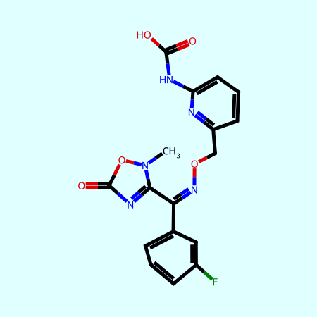 Cn1oc(=O)nc1/C(=N\OCc1cccc(NC(=O)O)n1)c1cccc(F)c1